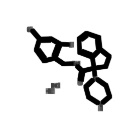 Cl.Cl.O=C(NCc1ccc(Cl)cc1Cl)C1(N2CCNCC2)CCc2ccccc21